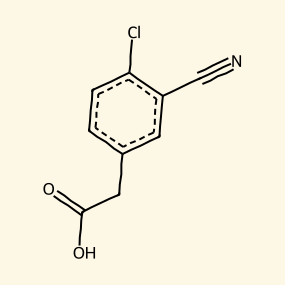 N#Cc1cc(CC(=O)O)ccc1Cl